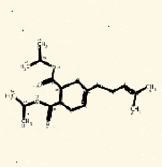 CC(C)=CCCC1=CCC(C(=O)OC(C)C)C(C(=O)OC(C)C)C1